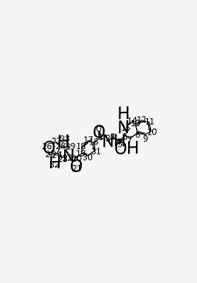 O=C(NCC(O)[C@@H]1Cc2ccccc2CN1)c1ccc(C(=O)N2C[C@H]3COC[C@H]3C2)cc1